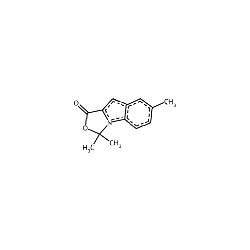 Cc1ccc2c(c1)cc1n2C(C)(C)OC1=O